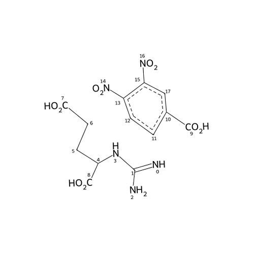 N=C(N)NC(CCC(=O)O)C(=O)O.O=C(O)c1ccc([N+](=O)[O-])c([N+](=O)[O-])c1